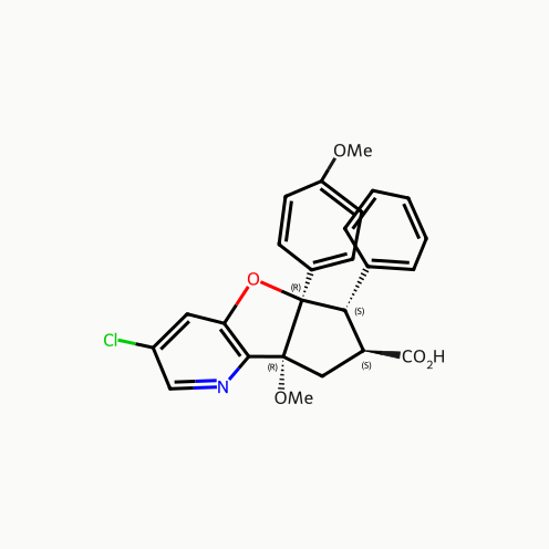 COc1ccc([C@@]23Oc4cc(Cl)cnc4[C@]2(OC)C[C@H](C(=O)O)[C@H]3c2ccccc2)cc1